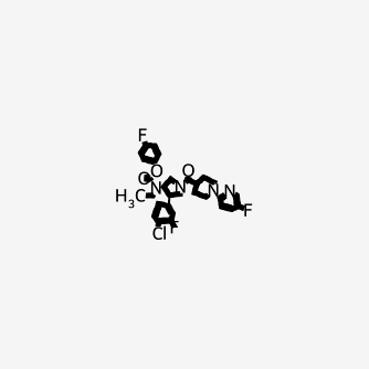 CCN(C(=O)Oc1ccc(F)cc1)[C@@H]1CN(C(=O)C2CCN(c3ccc(F)cn3)CC2)C[C@H]1c1ccc(Cl)c(F)c1